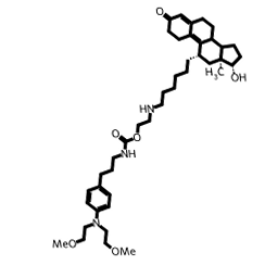 COCCN(CCOC)c1ccc(CCCNC(=O)OCCNCCCCCC[C@H]2C[C@@]3(C)C(CC[C@@H]3O)C3CCC4=CC(=O)CCC4=C32)cc1